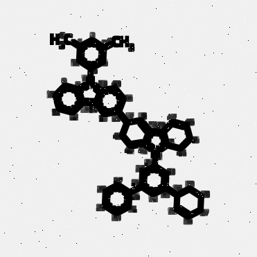 Cc1cc(C)cc(-n2c3ccccc3c3cc(C4C=c5c6c(n(-c7cc(-c8ccccc8)cc(C8C=CCCC8)c7)c5=CC4)CCC=C6)ccc32)c1